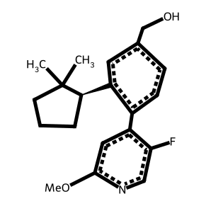 COc1cc(-c2ccc(CO)cc2[C@H]2CCCC2(C)C)c(F)cn1